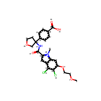 COCCOc1cc2c(cc(C(=O)NC3(c4ccc(C(=O)O)cc4)CCOC3)n2C)c(Cl)c1Cl